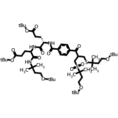 CC(C)(CCOC(C)(C)C)NC(=O)C(CCC(=O)OC(C)(C)C)NC(=O)[C@H](CCC(=O)OC(C)(C)C)NC(=O)c1ccc(C(=O)C(CSC(C)(C)CCOC(C)(C)C)CS(=O)(=O)C(C)(C)CCOC(C)(C)C)cc1